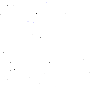 NCC(N)C1CCC(CC(=O)O)CC1